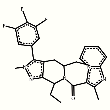 CCC1Cc2c(nn(C)c2-c2cc(F)c(F)c(F)c2)C(CC)N1C(=O)c1c(C)nc2ccccn12